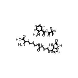 NC(CCCCNC(=O)CCCCC1SCC2NC(=O)NC21)C(=O)O.Nc1ccccc1C(=O)OC(=O)C(F)(F)F